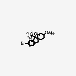 [2H]C([2H])([2H])C1(O)c2cc(Br)ccc2CC12CCC(OC)CC2